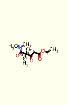 CCOC(=O)CC(=O)C(C)(C)C(=O)N(C)C